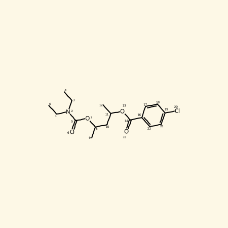 CCN(CC)C(=O)OC(C)CC(C)OC(=O)c1ccc(Cl)cc1